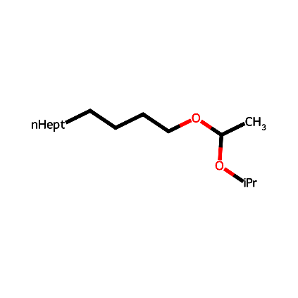 CCCCCCCCCCCOC(C)OC(C)C